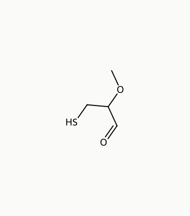 COC(C=O)CS